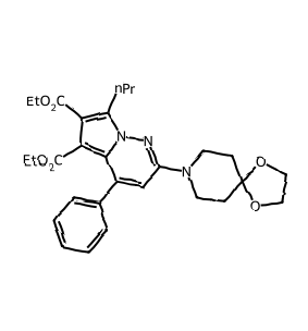 CCCc1c(C(=O)OCC)c(C(=O)OCC)c2c(-c3ccccc3)cc(N3CCC4(CC3)OCCO4)nn12